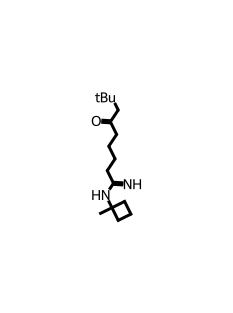 CC(C)(C)CC(=O)CCCCC(=N)NC1(C)CCC1